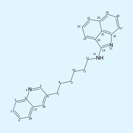 c1ccc2ncc(CCCCCCNC3=Nc4cccc5cccc3c45)cc2c1